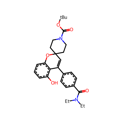 CCN(CC)C(=O)c1ccc(C2=CC3(CCN(C(=O)OC(C)(C)C)CC3)Oc3cccc(O)c32)cc1